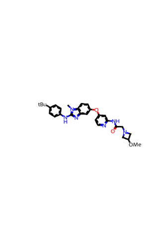 COC1CN(CC(=O)Nc2cc(Oc3ccc4c(c3)nc(Nc3ccc(C(C)(C)C)cc3)n4C)ccn2)C1